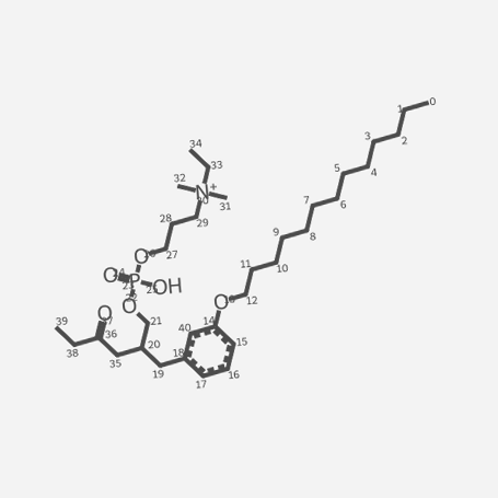 CCCCCCCCCCCCCOc1cccc(CC(COP(=O)(O)OCCC[N+](C)(C)CC)CC(=O)CC)c1